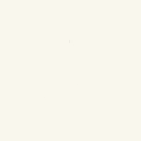 [CH2]c1cccc(OCCC)c1